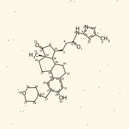 Cc1cnc(NC(=O)CC[C@@H]2CC(=O)[C@@]3(C)CCC4c5cc(CN6CCOCC6)c(O)cc5CCC4C23)s1